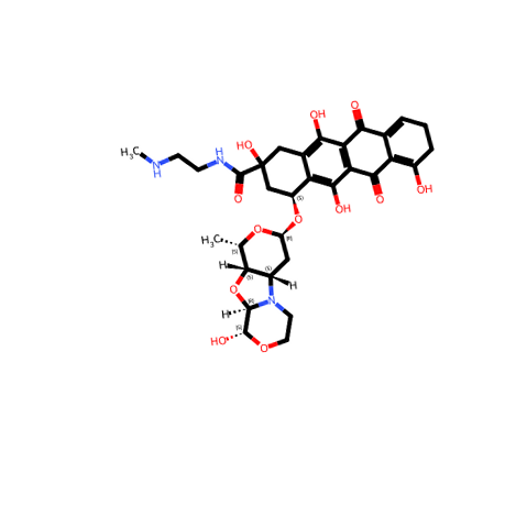 CNCCNC(=O)C1(O)Cc2c(O)c3c(c(O)c2[C@@H](O[C@H]2C[C@H]4[C@H](O[C@@H]5[C@@H](O)OCCN54)[C@H](C)O2)C1)C(=O)C1=C(O)CCC=C1C3=O